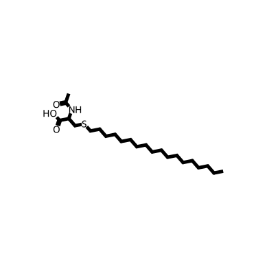 CCCCCCCCCCCCCCCCCCSCC(NC(C)=O)C(=O)O